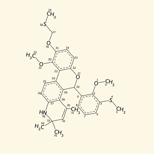 COc1c(SC)cccc1C1Oc2ccc(OCSC)c(OC)c2-c2ccc3c(c21)C(C)=CC(C)(C)N3